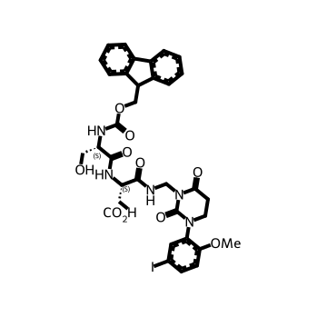 COc1ccc(I)cc1N1CCC(=O)N(CNC(=O)[C@H](CC(=O)O)NC(=O)[C@H](CO)NC(=O)OCC2c3ccccc3-c3ccccc32)C1=O